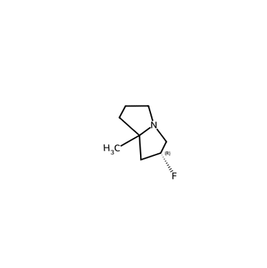 CC12CCCN1C[C@H](F)C2